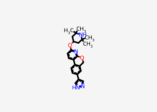 CC1(C)CC(Oc2ccc3c(n2)OCc2cc(-c4cn[nH]c4)ccc2-3)CC(C)(C)N1